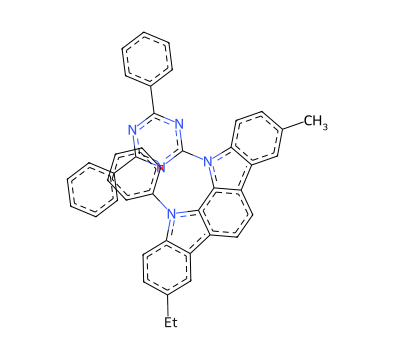 CCc1ccc2c(c1)c1ccc3c4cc(C)ccc4n(-c4nc(-c5ccccc5)nc(-c5ccccc5)n4)c3c1n2-c1ccccc1